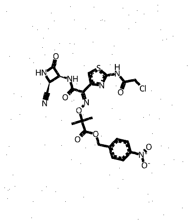 CC(C)(ON=C(C(=O)N[C@@H]1C(=O)N[C@@H]1C#N)c1csc(NC(=O)CCl)n1)C(=O)OCc1ccc([N+](=O)[O-])cc1